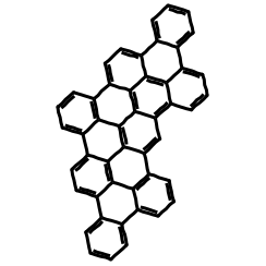 c1ccc2c(c1)c1cccc3c4cc5c6cccc7c8ccccc8c8ccc9c%10cccc%11c%12ccc2c(c13)c%12c4c(c%11%10)c5c9c8c76